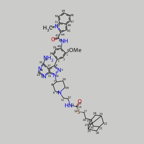 COc1cc(-c2nn(C3CCN(CCNC(=O)SCCC45CC6CC(CC(C6)C4)C5)CC3)c3ncnc(N)c23)ccc1NC(=O)c1cc2ccccc2n1C